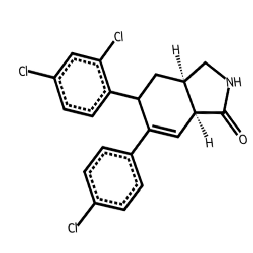 O=C1NC[C@@H]2CC(c3ccc(Cl)cc3Cl)C(c3ccc(Cl)cc3)=C[C@H]12